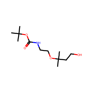 CC(C)(C)OC(=O)NCCOC(C)(C)CCO